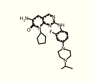 CC(C)N1CCN(c2ccc(Nc3ncc4cc(N)c(=O)n(C5CCCC5)c4n3)c(F)c2)CC1